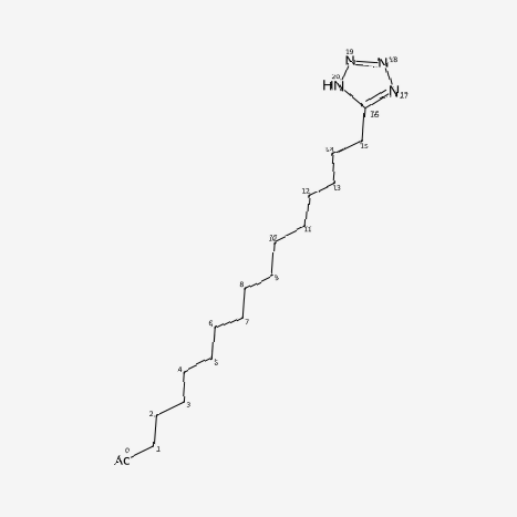 CC(=O)CCCCCCCCCCCCCCCc1nnn[nH]1